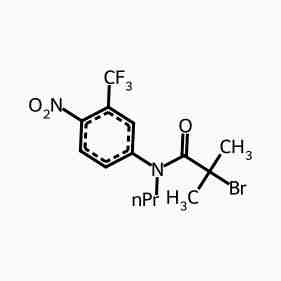 CCCN(C(=O)C(C)(C)Br)c1ccc([N+](=O)[O-])c(C(F)(F)F)c1